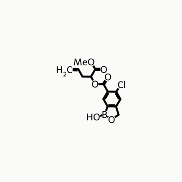 C=CCC(OC(=O)c1cc2c(cc1Cl)COB2O)C(=O)OC